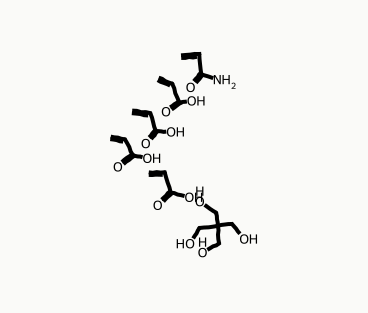 C=CC(=O)O.C=CC(=O)O.C=CC(=O)O.C=CC(=O)O.C=CC(N)=O.OCC(CO)(CO)CO